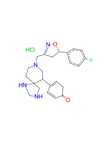 Cl.O=C1C=CC(C2CN(CC3=NOC(c4ccc(F)cc4)C3)CCC23CNCN3)=CC1